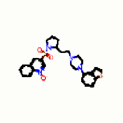 O=S(=O)(c1cc2ccccc2[n+]([O-])c1)N1CCCC1CCN1CCN(c2cccc3sccc23)CC1